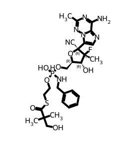 Cc1nc(N)c2ncc([C@]3(C#N)O[C@H](CO[PH](O)(NCc4ccccc4)OCCSC(=O)C(C)(C)CO)[C@@H](O)[C@@]3(C)F)n2n1